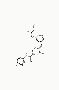 CCCC(C)Oc1cccc(/C=C2\CCN(C(=O)Nc3ccc(C)nc3)CC2C)c1